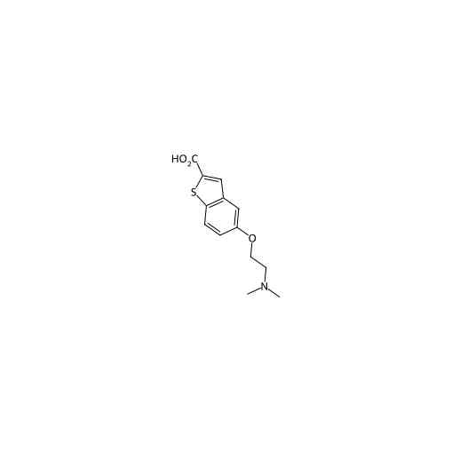 CN(C)CCOc1ccc2sc(C(=O)O)cc2c1